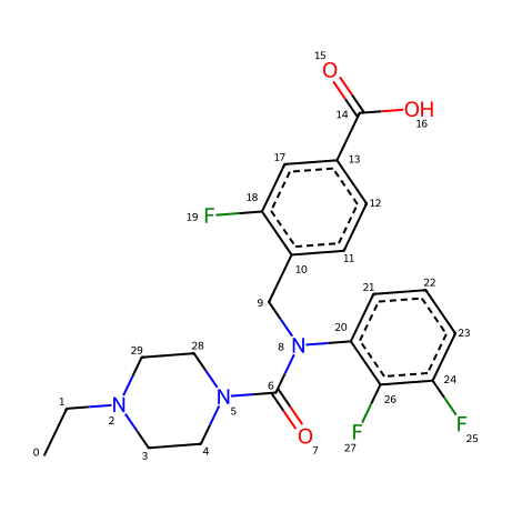 CCN1CCN(C(=O)N(Cc2ccc(C(=O)O)cc2F)c2cccc(F)c2F)CC1